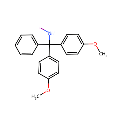 COc1ccc(C(NI)(c2ccccc2)c2ccc(OC)cc2)cc1